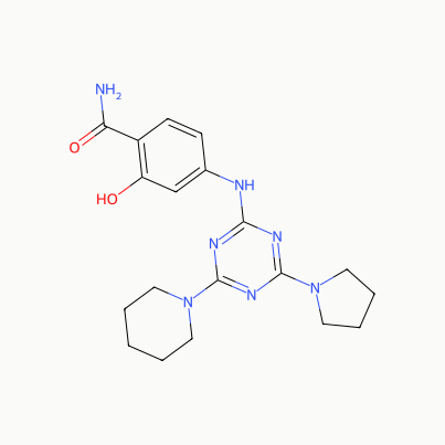 NC(=O)c1ccc(Nc2nc(N3CCCCC3)nc(N3CCCC3)n2)cc1O